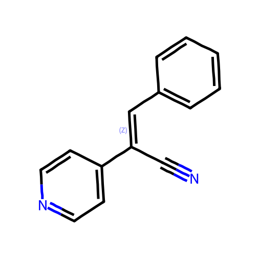 N#C/C(=C\c1ccccc1)c1ccncc1